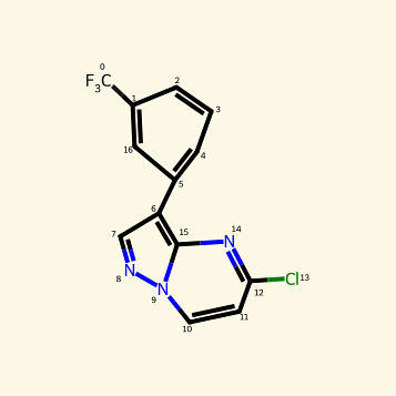 FC(F)(F)c1cccc(-c2cnn3ccc(Cl)nc23)c1